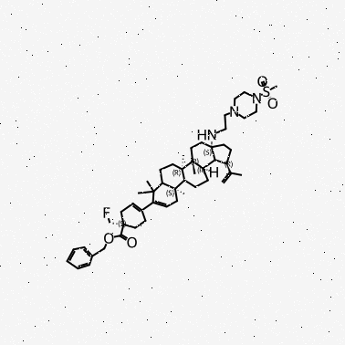 C=C(C)[C@@H]1CC[C@]2(NCCN3CCN(S(C)(=O)=O)CC3)CC[C@]3(C)[C@H](CCC4[C@@]5(C)CC=C(C6=CC[C@](CF)(C(=O)OCc7ccccc7)CC6)C(C)(C)C5CC[C@]43C)C12